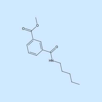 CCCCCNC(=O)c1cccc(C(=O)OC)c1